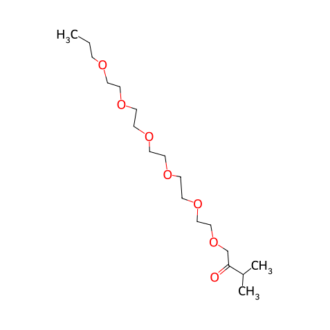 CCCOCCOCCOCCOCCOCCOCC(=O)C(C)C